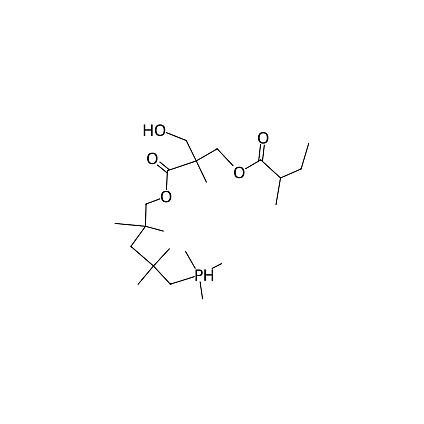 CCC(C)C(=O)OCC(C)(CO)C(=O)OCC(C)(C)CC(C)(C)C[PH](C)(C)C